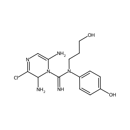 N=C(N(CCCO)c1ccc(O)cc1)N1C(N)=CN=C(Cl)C1N